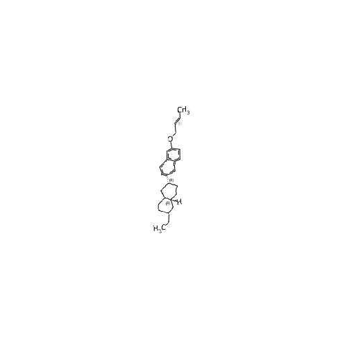 C/C=C/COc1ccc2cc([C@@H]3CC[C@@H]4CC(CC)CCC4C3)ccc2c1